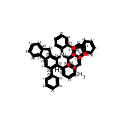 Cc1cc2c(c(N(c3ccccc3-c3ccccc3)c3c4c(cc(-c5ccccc5)c3-c3ccccc3)-c3ccccc3C4)c1C)Cc1ccccc1-2